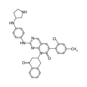 Cc1ccc(-c2cc3cnc(Nc4ccc(NC5CCNC5)cc4)nc3n(C3CC(=O)c4ccccc4C3)c2=O)c(Cl)c1